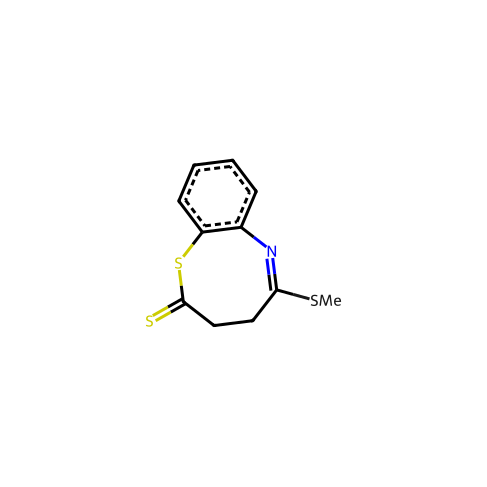 CSC1=Nc2ccccc2SC(=S)CC1